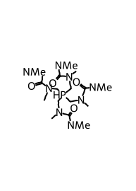 CNC(=O)N(C)C[PH](CN(C)C(=O)NC)(CN(C)C(=O)NC)CN(C)C(=O)NC